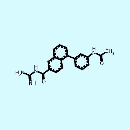 CC(=O)Nc1cccc(-c2cccc3cc(C(=O)NC(=N)N)ccc23)c1